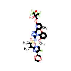 COc1cccc(OC)c1-n1c(NS(=O)(=O)C(C)C(C)c2ncc(F)c([C@@H]3COCCO3)n2)nnc1-c1cccc(OCC(O)(C(F)(F)F)C(F)(F)F)n1